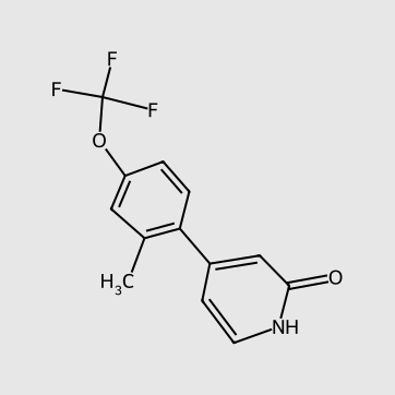 Cc1cc(OC(F)(F)F)ccc1-c1cc[nH]c(=O)c1